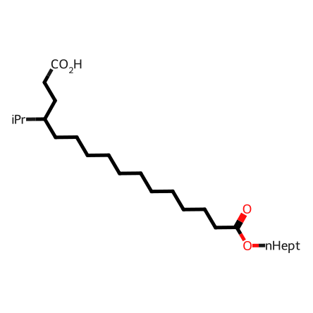 CCCCCCCOC(=O)CCCCCCCCCCCC(CCC(=O)O)C(C)C